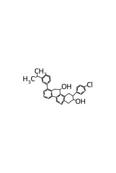 CC(C)c1cccc(-c2cccc3c2CC(O)c2c-3ccc3c2CC(c2ccc(Cl)cc2)C(O)C3)c1